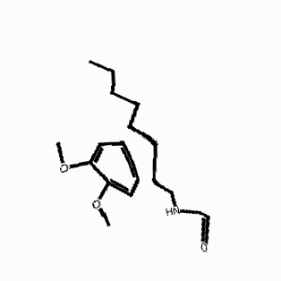 CCCCCCCCNC=O.COc1ccccc1OC